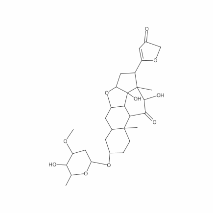 COC1CC(OC2CCC3(C)C(C2)CC2OC4CC(C5=CC(=O)CO5)C5(C)C(O)C(=O)C3C2C45O)OC(C)C1O